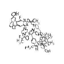 C=C(F)C(=O)N1CCN(c2nc(O[C@H](C)CN3CCC(COCC(=O)N[C@H](C(=O)N4CC(O)CC4C(=O)N[C@@H](C)c4ccc(-c5scnc5C)cc4)C(C)(C)C)CC3)nc3c(F)c(-c4cc(O)cc5ccccc45)c(Cl)cc23)CC1